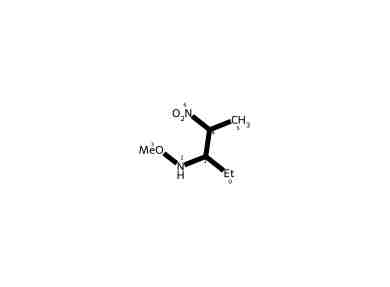 CCC(NOC)C(C)[N+](=O)[O-]